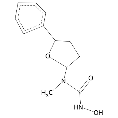 CN(C(=O)NO)C1CCC(c2ccccc2)O1